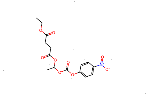 CCOC(=O)CCC(=O)OC(C)OC(=O)Oc1ccc([N+](=O)[O-])cc1